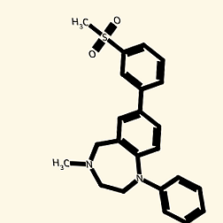 CN1CCN(c2ccccc2)c2ccc(-c3cccc(S(C)(=O)=O)c3)cc2C1